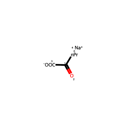 CCCC(=O)C(=O)[O-].[Na+]